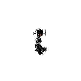 CO[PH](=O)C(NC(=O)CCCOC(=O)N(C)c1ccc2c(c1)COB([C@@H](CC(C)C)NC(=O)[C@@H](Cc1ccccc1)NC(=O)c1cnccn1)OC2)P(=O)(O)O